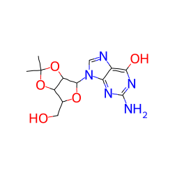 CC1(C)OC2C(CO)OC(n3cnc4c(O)nc(N)nc43)C2O1